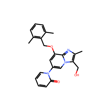 Cc1cccc(C)c1COc1cc(-n2ccccc2=O)cn2c(CO)c(C)nc12